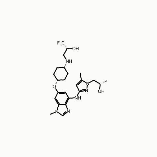 Cc1cc(Nc2cc(O[C@H]3CC[C@@H](NC[C@@H](O)C(F)(F)F)CC3)cc3c2ncn3C)nn1C[C@H](C)O